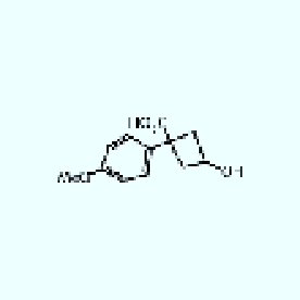 COc1ccc(C2(C(=O)O)CC(O)C2)cc1